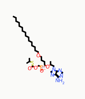 CCCCCCCCCCCCCCCCOCCC/C(OC(C)Cn1cnc2c(N)ncnc21)=[P+](/[O-])COC(=O)SC(C)C